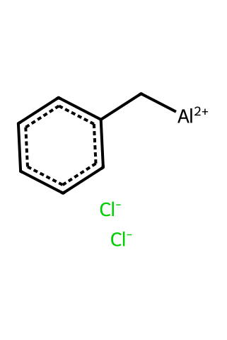 [Al+2][CH2]c1ccccc1.[Cl-].[Cl-]